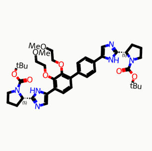 COCCOc1c(-c2ccc(-c3cnc([C@@H]4CCCN4C(=O)OC(C)(C)C)[nH]3)cc2)ccc(-c2cnc([C@@H]3CCCN3C(=O)OC(C)(C)C)[nH]2)c1OCCOC